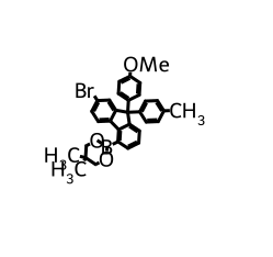 COc1ccc(C2(c3ccc(C)cc3)c3cc(Br)ccc3-c3c(B4OCC(C)(C)CO4)cccc32)cc1